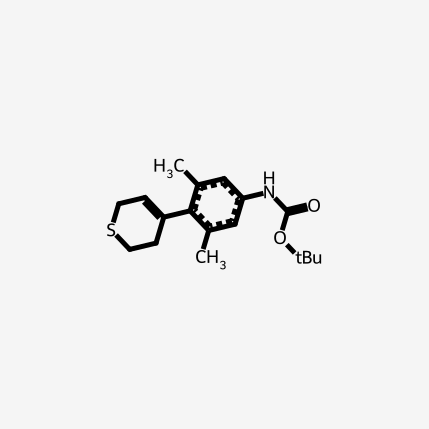 Cc1cc(NC(=O)OC(C)(C)C)cc(C)c1C1=CCSCC1